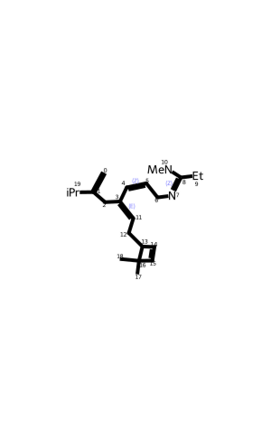 C=C(CC(/C=C\C/N=C(/CC)NC)=C\CC1C=CC1(C)C)C(C)C